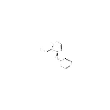 C\C=C/C(=N\C1C=CC=CC1)C(/N)=C/S